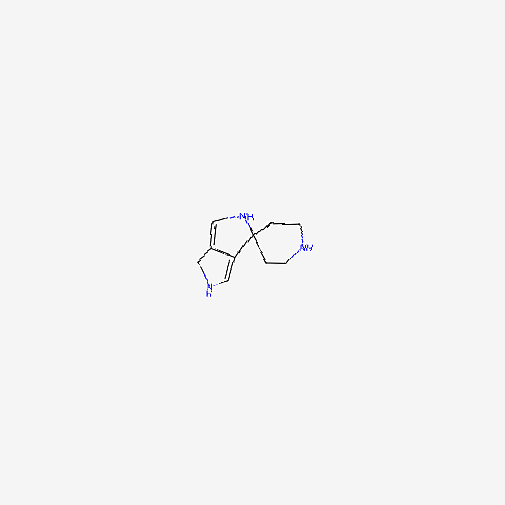 C1=C2CNC=C2C2(CCNCC2)N1